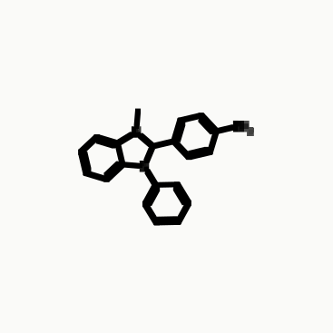 Bc1ccc(C2N(C)c3ccccc3N2c2ccccc2)cc1